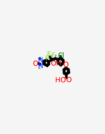 C[C@H](c1ccc(Oc2ccc(C(=O)O)cc2)cc1Cl)[C@@](O)(c1ccc2c(c1)n(C)c(=O)n2C)C(F)(F)F